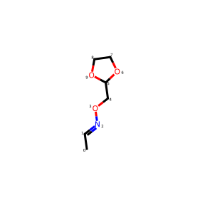 CC=NOCC1OCCO1